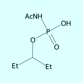 CCC(CC)OP(=O)(O)NC(C)=O